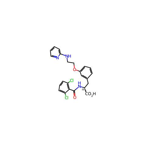 O=C(N[C@@H](Cc1cccc(OCCNc2ccccn2)c1)C(=O)O)c1c(Cl)cccc1Cl